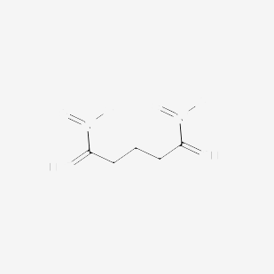 C=C(CCCC(=C)[N+](=O)[O-])[N+](=O)[O-]